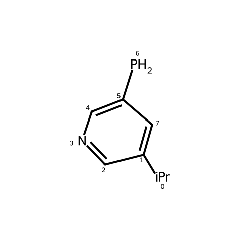 CC(C)c1cncc(P)c1